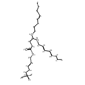 CCCCCCCCOC(CCC(=O)OCCCCCC(C)(C)C)OCCCCCCCC